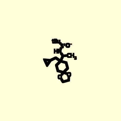 CC(N[S+]([O-])C(C)(C)C)C1(CC2CC2)CCC2(CC1)OCCO2